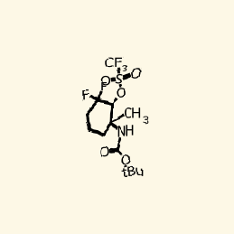 CC(C)(C)OC(=O)N[C@]1(C)CCCC(F)(F)[C@H]1OS(=O)(=O)C(F)(F)F